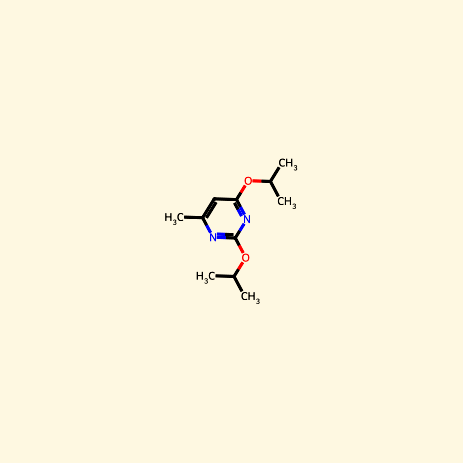 Cc1cc(OC(C)C)nc(OC(C)C)n1